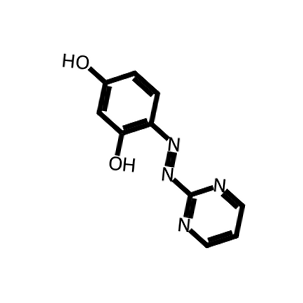 Oc1ccc(N=Nc2ncccn2)c(O)c1